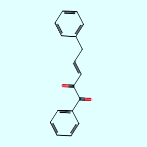 O=C(C=CCc1ccccc1)C(=O)c1ccccc1